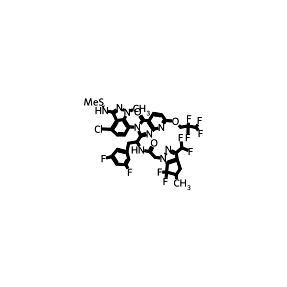 CSNc1nn(C)c2c(-n3c(C(Cc4cc(F)cc(F)c4)NC(=O)Cn4nc(C(F)F)c5c4C(F)(F)C(C)C5)nc4nc(OCC(F)(F)C(F)F)ccc4c3=O)ccc(Cl)c12